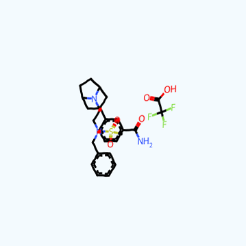 CS(=O)(=O)N(CCN1C2CCC1CC(c1cccc(C(N)=O)c1)C2)Cc1ccccc1.O=C(O)C(F)(F)F